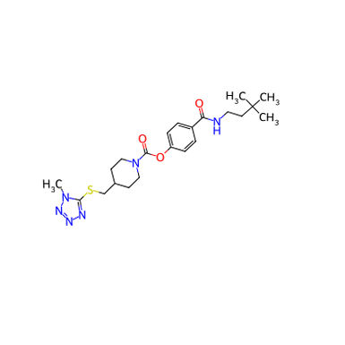 Cn1nnnc1SCC1CCN(C(=O)Oc2ccc(C(=O)NCCC(C)(C)C)cc2)CC1